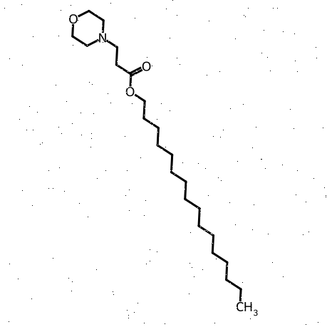 CCCCCCCCCCCCCCCCOC(=O)CCN1CCOCC1